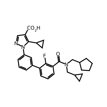 O=C(O)c1cnn(-c2cccc(-c3cccc(C(=O)N(CC4CCCC4)CC4CC4)c3F)c2)c1C1CC1